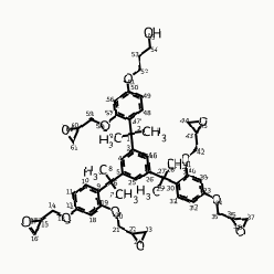 CC(C)(c1cc(C(C)(C)c2ccc(OCC3CO3)cc2OCC2CO2)cc(C(C)(C)c2ccc(OCC3CO3)cc2OCC2CO2)c1)c1ccc(OCCCO)cc1OCC1CO1